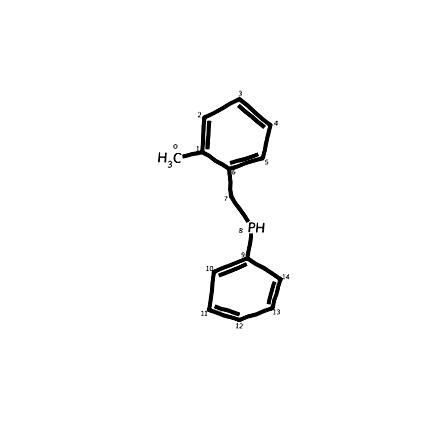 Cc1ccccc1CPc1ccccc1